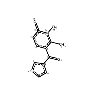 Cc1c(C(=O)c2ccsc2)c[c]c(=O)n1C#N